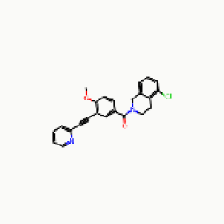 COc1ccc(C(=O)N2CCc3c(Cl)cccc3C2)cc1C#Cc1ccccn1